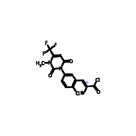 Cn1c(C(F)(F)F)cc(=O)n(-c2ccc(Cl)c(/C=C(\Br)C(=O)Cl)c2)c1=O